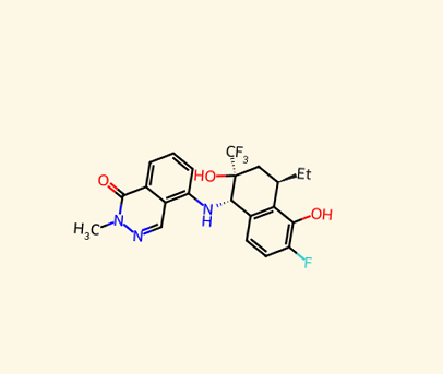 CC[C@@H]1C[C@@](O)(C(F)(F)F)[C@@H](Nc2cccc3c(=O)n(C)ncc23)c2ccc(F)c(O)c21